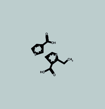 CCc1sccc1C(=O)O.O=C(O)c1ccsc1